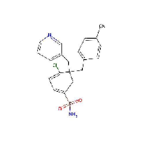 N#Cc1ccc(CC2(Cc3cccnc3)CC(S(N)(=O)=O)=CC=C2Cl)cc1